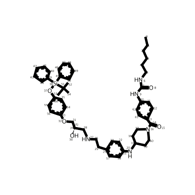 CCCCCCNC(=O)Nc1ccc(C(=O)N2CCC(Nc3ccc(CCNC[C@H](O)COc4ccc(O[Si](c5ccccc5)(c5ccccc5)C(C)(C)C)cc4)cc3)CC2)cc1